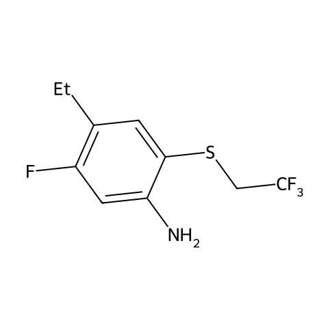 CCc1cc(SCC(F)(F)F)c(N)cc1F